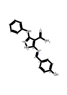 NC(=O)c1c(Nc2ccccc2)n[nH]c1/N=C/c1ccc(O)cc1